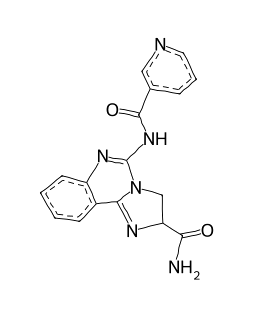 NC(=O)C1CN2C(NC(=O)c3cccnc3)=Nc3ccccc3C2=N1